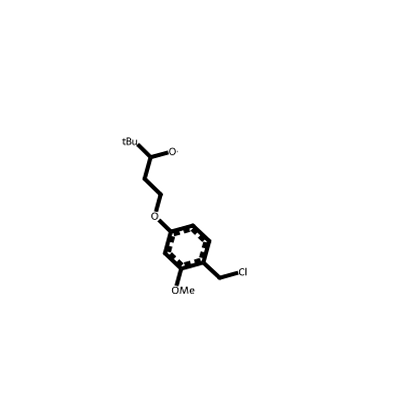 COc1cc(OCCC([O])C(C)(C)C)ccc1CCl